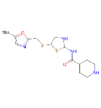 CC(C)(C)c1cnc(CSC2CNC(NC(=O)C3CCNCC3)S2)o1